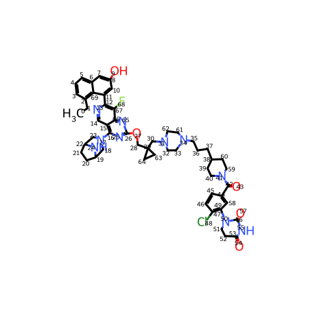 CCc1cccc2cc(O)cc(-c3ncc4c(N5CC6CCC(C5)N6)nc(OCC5(CN6CCN(CCCC7CCN(C(=O)c8ccc(Cl)c(N9CCC(=O)NC9=O)c8)CC7)CC6)CC5)nc4c3F)c12